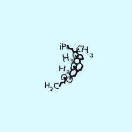 C=CCCC(=O)OC1CCC2(C)C(CCC3C2CCC2(C)C(C(C)CCCC(C)C)CCC32)C1